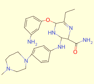 CCC1=NC(C(N)=O)C(Nc2ccc(N3CCCN(C)CC3)cc2)NC1Oc1cccc(N)c1